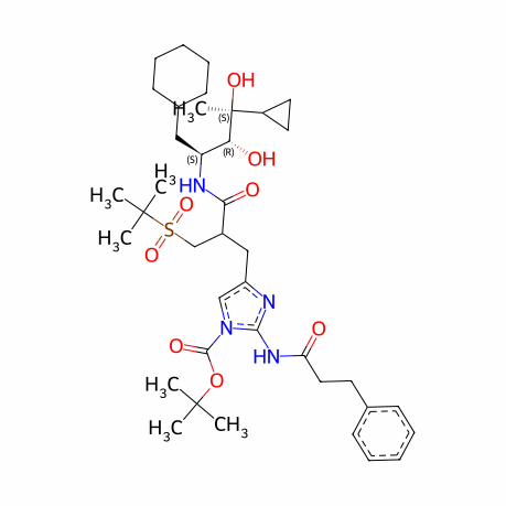 CC(C)(C)OC(=O)n1cc(CC(CS(=O)(=O)C(C)(C)C)C(=O)N[C@@H](CC2CCCCC2)[C@@H](O)[C@@](C)(O)C2CC2)nc1NC(=O)CCc1ccccc1